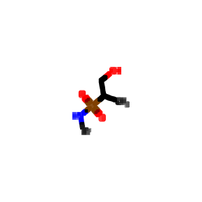 CC(C)NS(=O)(=O)C(C)CO